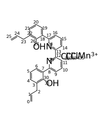 C=CCc1cccc(-c2cccc(-c3cccc(-c4cccc(CC=C)c4O)n3)n2)c1O.[Cl-].[Cl-].[Cl-].[Mn+3]